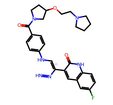 N=N/C(=C\Nc1ccc(C(=O)N2CCC(OCCN3CCCC3)C2)cc1)c1cc2cc(F)ccc2[nH]c1=O